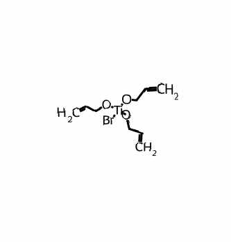 C=CC[O][Ti]([Br])([O]CC=C)[O]CC=C